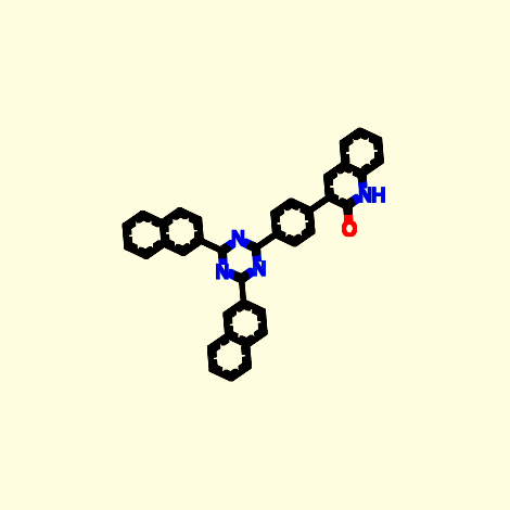 O=c1[nH]c2ccccc2cc1-c1ccc(-c2nc(-c3ccc4ccccc4c3)nc(-c3ccc4ccccc4c3)n2)cc1